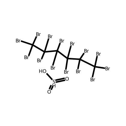 BrC(Br)(Br)C(Br)(Br)C(Br)(Br)C(Br)(Br)C(Br)(Br)C(Br)(Br)Br.O=[SH](=O)O